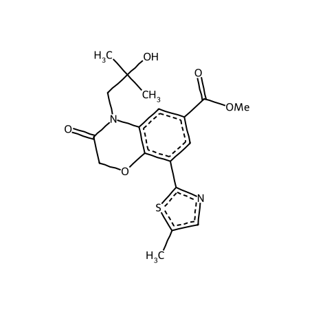 COC(=O)c1cc(-c2ncc(C)s2)c2c(c1)N(CC(C)(C)O)C(=O)CO2